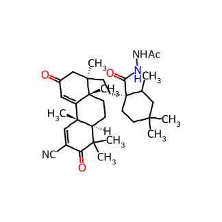 CC(=O)NNC(=O)[C@]1(CC[C@]2(C)CC(=O)C=C3[C@@]4(C)C=C(C#N)C(=O)C(C)(C)[C@@H]4CC[C@]32C)CCC(C)(C)CC1C